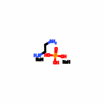 NCCN.O=P(O)(O)O.[NaH].[NaH]